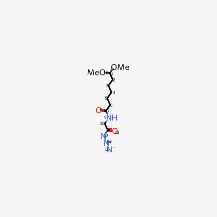 COC(CCCCCC(=O)NCC(=O)N=[N+]=[N-])OC